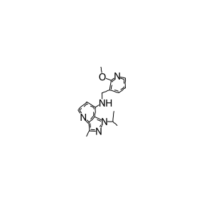 COc1ncccc1CNc1ccnc2c(C)nn(C(C)C)c12